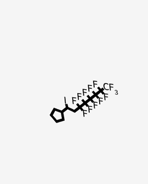 FC(F)(F)C(F)(F)C(F)(F)C(F)(F)C(F)(F)C(F)(F)CC(I)C1CCCC1